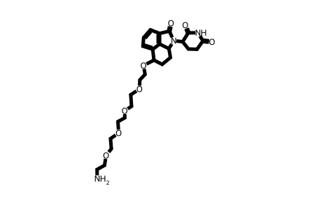 NCCOCCOCCOCCOCCOC1CCC2c3c(cccc31)C(=O)N2C1CCC(=O)NC1=O